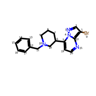 Brc1cnn2c(C3CCCN(Cc4ccccc4)C3)ccnc12